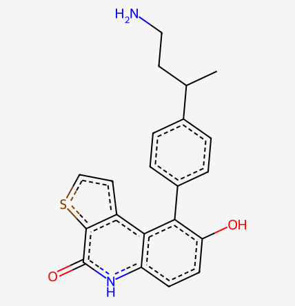 CC(CCN)c1ccc(-c2c(O)ccc3[nH]c(=O)c4sccc4c23)cc1